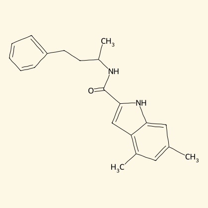 Cc1cc(C)c2cc(C(=O)NC(C)CCc3ccccc3)[nH]c2c1